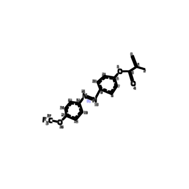 C=C(C)C(=O)Oc1ccc(/N=N/c2ccc(OC(F)(F)F)cc2)cc1